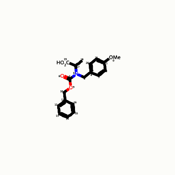 COc1ccc(CN(C(=O)OCc2ccccc2)C(C)C(=O)O)cc1